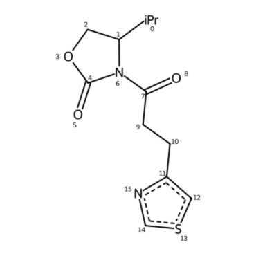 CC(C)C1COC(=O)N1C(=O)CCc1cscn1